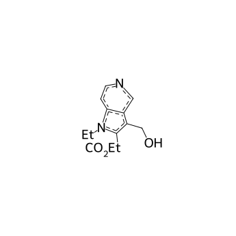 CCOC(=O)c1c(CO)c2cnccc2n1CC